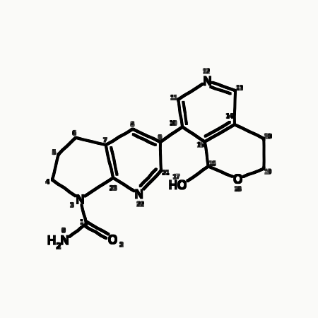 NC(=O)N1CCCc2cc(-c3cncc4c3C(O)OCC4)cnc21